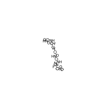 O=C1CC[C@@H](Nc2ccc(C3CCN(C4CCC(C(=O)NC5CCC(Nc6ncc(F)c(-c7cccc(-n8ccccc8=O)c7)n6)CC5)CC4)CC3)c(F)c2)C(=O)N1